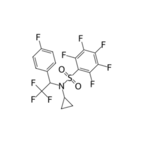 O=S(=O)(c1c(F)c(F)c(F)c(F)c1F)N(C1CC1)C(c1ccc(F)cc1)C(F)(F)F